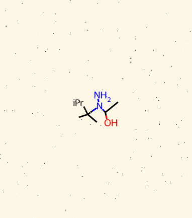 CC(O)N(N)C(C)(C)C(C)C